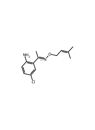 CC(C)=CCO/N=C(\C)c1cc(Cl)ccc1N